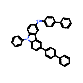 c1ccc(-c2ccc(Nc3ccc4c(c3)c3cc(-c5ccc(-c6ccccc6)cc5)ccc3n4-c3ccccc3)cc2)cc1